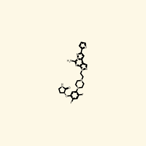 Nc1nc2c(cnn2CCN2CCN(c3cc(O[C@H]4CCNC4=O)c(F)cc3F)CC2)c2cc(-c3ccco3)nn12